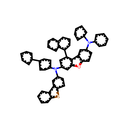 c1ccc(-c2ccc(N(c3cc(-c4cccc5ccccc45)c4c(c3)oc3ccc(N(c5ccccc5)c5ccccc5)cc34)c3ccc4sc5ccccc5c4c3)cc2)cc1